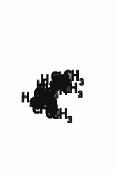 CCOC(C)(Cc1c(C)cc(C)cc1C)PCCOC(OCOC(C)=O)C(O)C(OC(C)=O)C(C)OC(C)=O